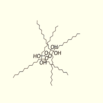 CCCCCCCCCCCCC(O)(CCCCCCCCCCCC)C(O)(CCCCCCCCCCCC)C(=O)OC(=O)C(O)(CCCCCCCCCCCC)C(O)(CCCCCCCCCCCC)CCCCCCCCCCCC